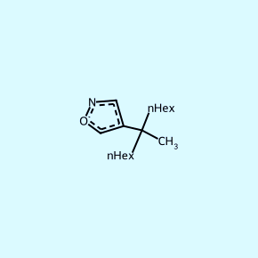 CCCCCCC(C)(CCCCCC)c1cnoc1